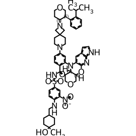 CC(C)c1ccccc1[C@@H]1COCC[C@@H]1N1CC2(CCN(c3ccc(C(=O)NS(=O)(=O)c4ccc(NCC5CCC(C)(O)CC5)c([N+](=O)[O-])c4)c(N4c5cc6cc[nH]c6nc5O[C@H]5COCC[C@@H]54)c3)CC2)C1